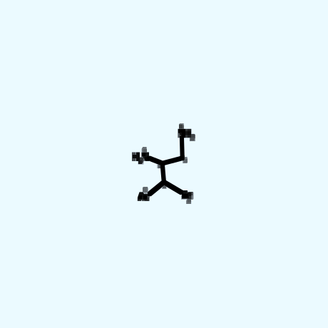 CC(=O)C(C(C)=O)C(N)CN